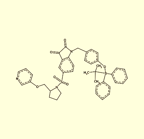 CC(C)(C)[Si](Oc1ccc(CN2C(=O)C(=O)c3cc(S(=O)(=O)N4CCCC4COc4cccnc4)ccc32)cc1)(c1ccccc1)c1ccccc1